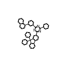 c1ccc(-c2nc(-c3cccc(-c4cccc5ccccc45)c3)nc(-c3ccc4c(c3)C(c3ccccc3)(c3ccccc3)c3ccccc3-4)n2)cc1